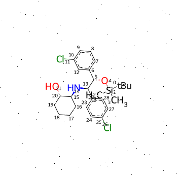 CC(C)(C)[Si](C)(C)O[C@@H](c1cccc(Cl)c1)[C@H](N[C@H]1CCCC[C@@H]1O)c1ccc(Cl)cc1